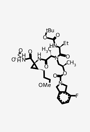 CC[C@H](NC(=O)OC(C)(C)C)C(=O)N(C[C@@H](C)OC(=O)N1Cc2cccc(F)c2C1)[C@@H](C)C(=O)N[C@]1(C(=O)N[SH](=O)=O)C[C@H]1CCCOC